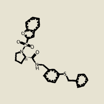 O=C(NCc1cccc(SCc2ccccc2)c1)[C@@H]1CCCN1S(=O)(=O)c1cc2ccccc2o1